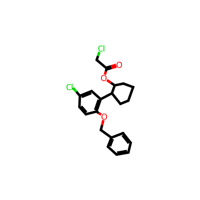 O=C(CCl)OC1CCCCC1c1cc(Cl)ccc1OCc1ccccc1